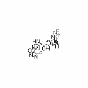 [2H]C([2H])([2H])n1cc(C(F)(F)F)nc1-c1ccc(C(O)c2c[nH]c3cnc(-c4c(OC)ncnc4C4CC4)nc23)cc1